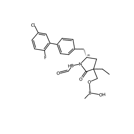 CCC1(COB(C)O)C[C@@H](Cc2ccc(-c3cc(Cl)ccc3F)cc2)N(BC=O)C1=O